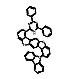 c1ccc(C2=NC(c3cccc4oc5cc6c(cc5c34)oc3cccc(-n4c5ccccc5c5ccccc54)c36)NC(c3ccccc3)=N2)cc1